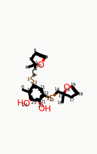 Cc1c(SCC2(C)CC=CO2)cc(SCC2(C)CC=CO2)c(O)c1O